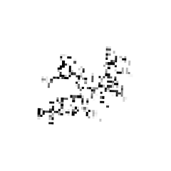 C=C[C@@H]1C[C@]1(NC(=O)[C@@H]1C[C@@](O)(c2cc(C)cc(C)c2)CN1C(=O)[C@@H](NC(=O)OC(C)(C)C)C(C)(C)C)C(=O)NS(=O)(=O)C1CC1